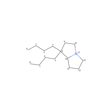 CCCCC1(CCCC)CCN2CCCC21